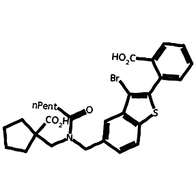 CCCCCC(=O)N(Cc1ccc2sc(-c3ccccc3C(=O)O)c(Br)c2c1)CC1(C(=O)O)CCCC1